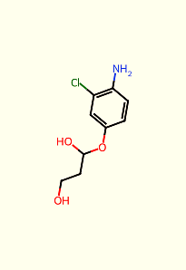 Nc1ccc(OC(O)CCO)cc1Cl